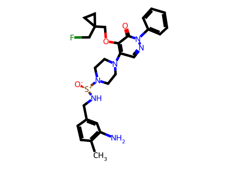 Cc1ccc(CN[S@@+]([O-])N2CCN(c3cnn(-c4ccccc4)c(=O)c3OCC3(CF)CC3)CC2)cc1N